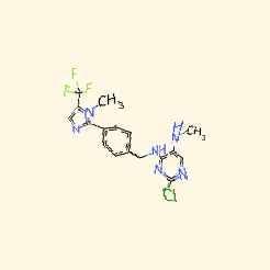 CNc1cnc(Cl)nc1NCc1ccc(-c2ncc(C(F)(F)F)n2C)cc1